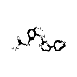 CC(=O)Nc1ccc(C)c(Nc2nccc(-c3cccnc3)n2)c1